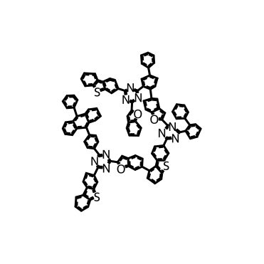 c1ccc(-c2ccc(-c3ccc4oc(-c5nc(-c6ccc7c(c6)sc6cccc(-c8ccc9cc(-c%10nc(-c%11ccc(-c%12c%13ccccc%13c(-c%13ccccc%13)c%13ccccc%12%13)cc%11)nc(-c%11ccc%12c(c%11)sc%11ccccc%11%12)n%10)oc9c8)c67)nc(-c6ccccc6-c6ccccc6)n5)cc4c3)c(-c3nc(-c4ccc5c(c4)sc4ccccc45)nc(-c4cc5ccccc5o4)n3)c2)cc1